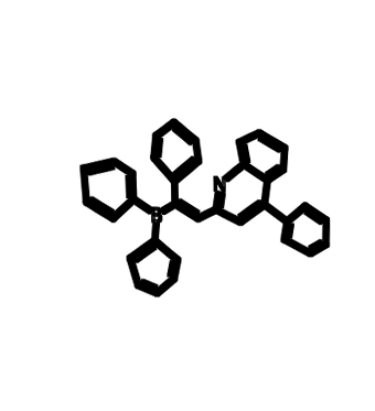 C(=C(B(c1ccccc1)c1ccccc1)c1ccccc1)c1cc(-c2ccccc2)c2ccccc2n1